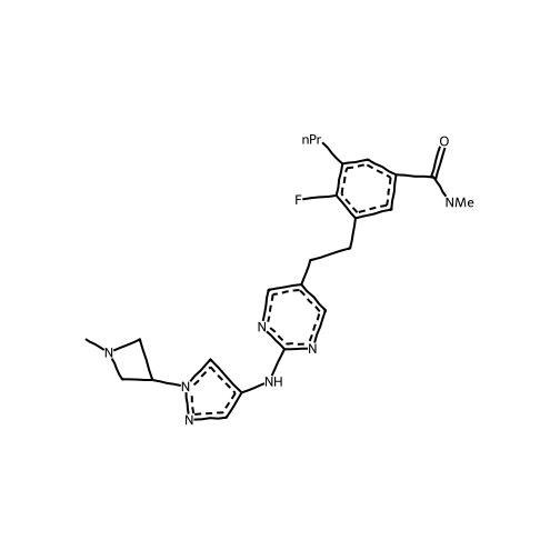 CCCc1cc(C(=O)NC)cc(CCc2cnc(Nc3cnn(C4CN(C)C4)c3)nc2)c1F